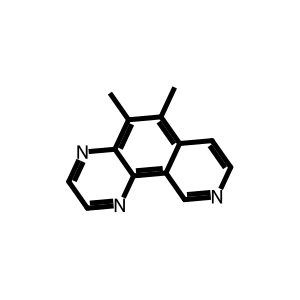 Cc1c(C)c2nccnc2c2cnccc12